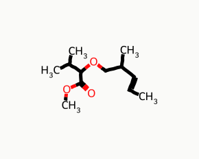 C/C=C/C(C)COC(C(=O)OC)C(C)C